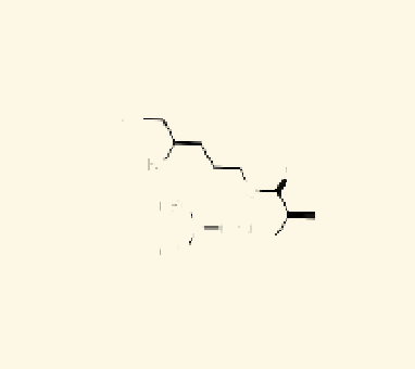 C=C(C)C(=O)OCCCC(Br)CCCCCCCCCCC.CCCCP(CCCC)CCCC